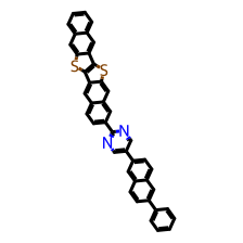 c1ccc(-c2ccc3cc(-c4cnc(-c5ccc6cc7c(cc6c5)sc5c6cc8ccccc8cc6sc75)nc4)ccc3c2)cc1